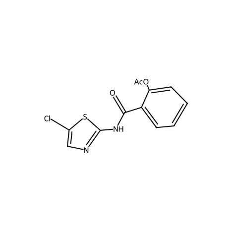 CC(=O)Oc1ccccc1C(=O)Nc1ncc(Cl)s1